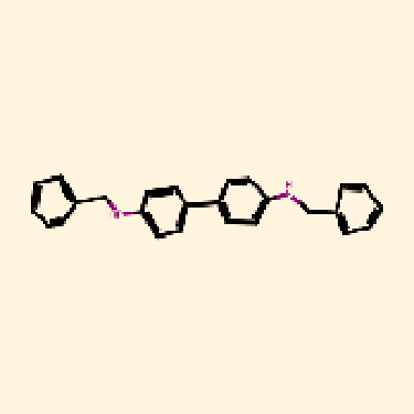 c1ccc(CPc2ccc(-c3ccc(PCc4ccccc4)cc3)cc2)cc1